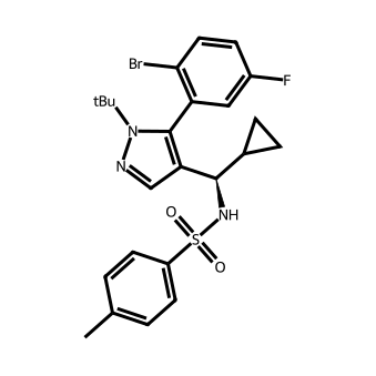 Cc1ccc(S(=O)(=O)N[C@@H](c2cnn(C(C)(C)C)c2-c2cc(F)ccc2Br)C2CC2)cc1